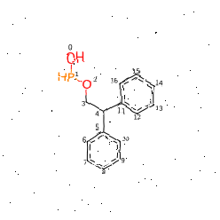 OPOCC(c1ccccc1)c1ccccc1